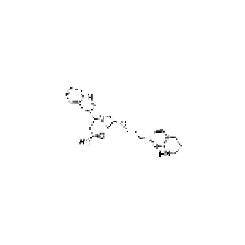 O=C(O)CC(c1cnc2ccccc2c1)N1CC(OCCCc2ccc3c(n2)NCCC3)C1